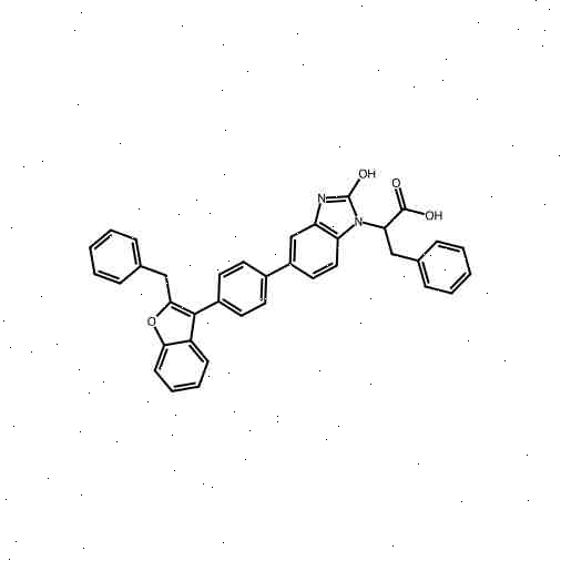 O=C(O)C(Cc1ccccc1)n1c(O)nc2cc(-c3ccc(-c4c(Cc5ccccc5)oc5ccccc45)cc3)ccc21